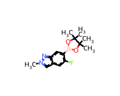 Cn1cc2cc(F)c(B3OC(C)(C)C(C)(C)O3)cc2n1